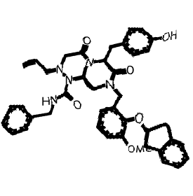 C=CCN1CC(=O)N2C(Cc3ccc(O)cc3)C(=O)N(Cc3cccc(OC)c3OC3Cc4ccccc4C3)CC2N1C(=O)NCc1ccccc1